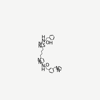 O=C(Cc1cccc(Cn2cccn2)c1)Nc1ccc(CCCCc2nnc(NC(O)Cc3ccccc3)s2)nn1